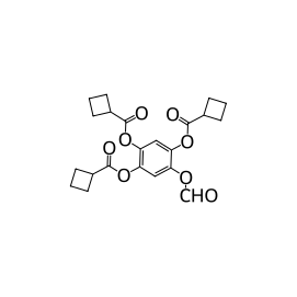 O=COc1cc(OC(=O)C2CCC2)c(OC(=O)C2CCC2)cc1OC(=O)C1CCC1